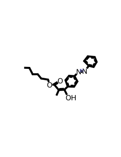 CCCCCCOC(=O)C(C)=C(O)c1ccc(/N=N/c2ccccc2)cc1